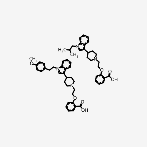 CC(C)Cn1cc(C2CCN(CCOc3ccccc3C(=O)O)CC2)c2ccccc21.COc1ccc(CCn2cc(C3CCN(CCOc4ccccc4C(=O)O)CC3)c3ccccc32)cc1